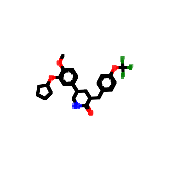 COc1ccc(C2CNC(=O)C(Cc3ccc(OC(F)(F)F)cc3)C2)cc1OC1CCCC1